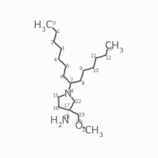 CCCCCCCC(CCCCCC)N1CC[C@](N)(COC)C1